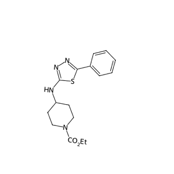 CCOC(=O)N1CCC(Nc2nnc(-c3ccccc3)s2)CC1